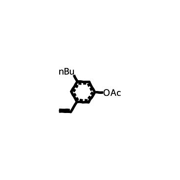 C=Cc1cc(CCCC)cc(OC(C)=O)c1